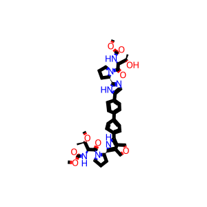 COC(=O)N[C@H](C(=O)N1CCC[C@H]1c1ncc(-c2ccc(-c3ccc(-c4[nH]c([C@@H]5CCCN5C(=O)[C@@H](NC(=O)OC)[C@@H](C)OC)c5c4COC5)cc3)cc2)[nH]1)[C@@H](C)O